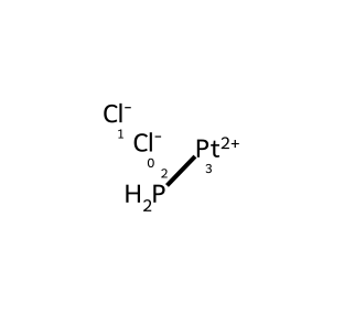 [Cl-].[Cl-].[PH2][Pt+2]